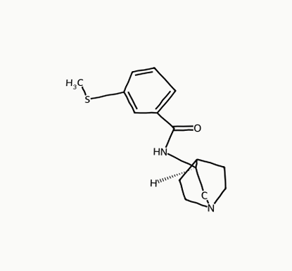 CSc1cccc(C(=O)N[C@@H]2CN3CCC2CC3)c1